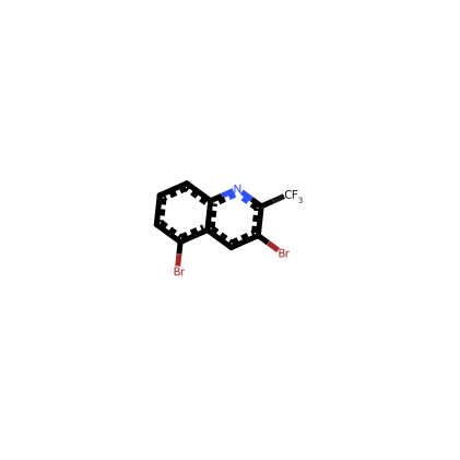 FC(F)(F)c1nc2cccc(Br)c2cc1Br